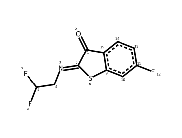 O=C1/C(=N/CC(F)F)Sc2cc(F)ccc21